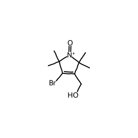 CC1(C)C(Br)=C(CO)C(C)(C)[N+]1=O